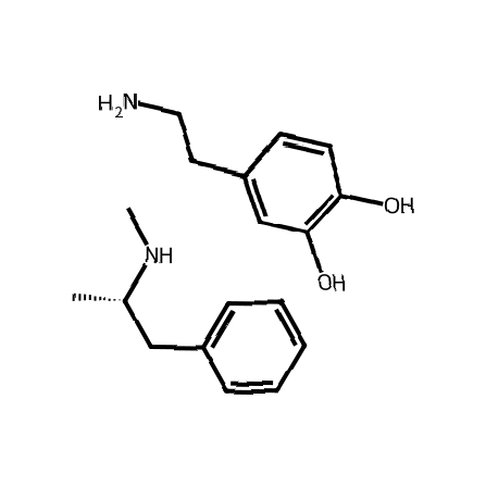 CN[C@@H](C)Cc1ccccc1.NCCc1ccc(O)c(O)c1